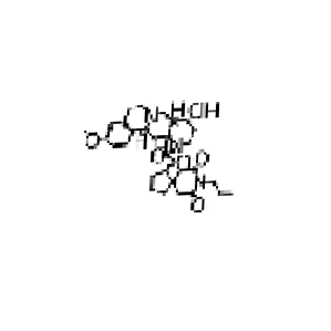 CCCN1C(=O)CC2(CCCC2S(=O)(=O)N2CCC[C@@H]3CN4CCc5cc(OC)ccc5[C@@H]4C[C@@H]32)CC1=O.Cl